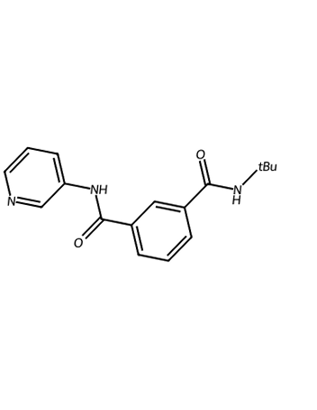 CC(C)(C)NC(=O)c1cccc(C(=O)Nc2cccnc2)c1